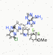 COc1ccc(-c2cc(Cn3cnc4c(N)ncnc43)c(N3CCC[C@](N)(c4cccc(Cl)n4)C3)cn2)c(F)c1F